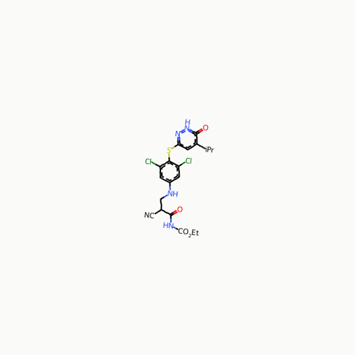 CCOC(=O)NC(=O)C(C#N)CNc1cc(Cl)c(Sc2cc(C(C)C)c(=O)[nH]n2)c(Cl)c1